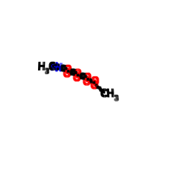 CCCCCCOC(=O)CCC(=O)Oc1ccc(C(=O)Oc2ccc(C(=O)Oc3ccc(N4CCN(C)CC4)cc3)cc2)cc1